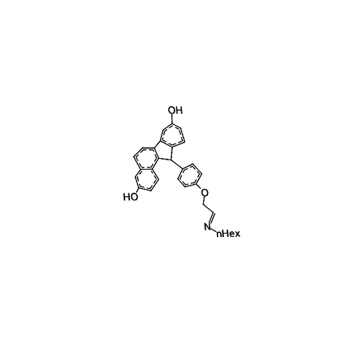 CCCCCCN=CCOc1ccc(C2c3ccc(O)cc3-c3ccc4cc(O)ccc4c32)cc1